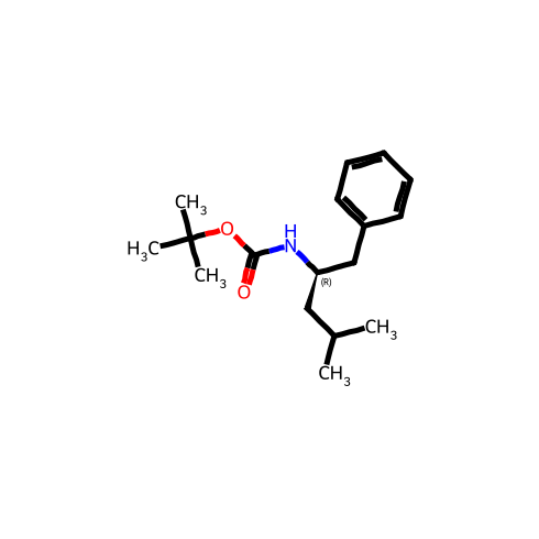 CC(C)C[C@H](Cc1ccccc1)NC(=O)OC(C)(C)C